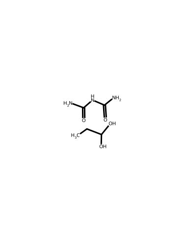 CCC(O)O.NC(=O)NC(N)=O